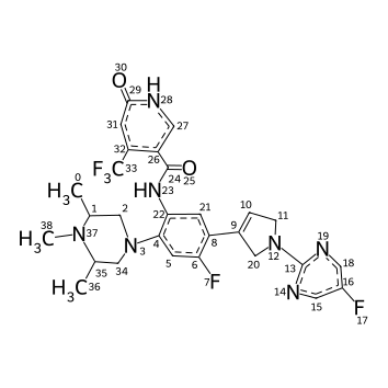 CC1CN(c2cc(F)c(C3=CCN(c4ncc(F)cn4)C3)cc2NC(=O)c2c[nH]c(=O)cc2C(F)(F)F)CC(C)N1C